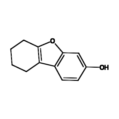 Oc1ccc2c3c(oc2c1)CCCC3